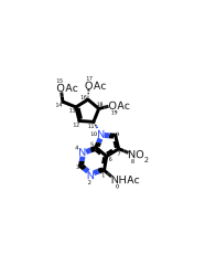 CC(=O)Nc1ncnc2c1c([N+](=O)[O-])cn2[C@@H]1C=C(COC(C)=O)[C@H](OC(C)=O)C1OC(C)=O